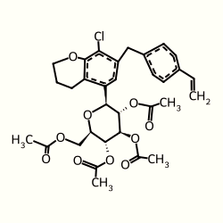 C=Cc1ccc(Cc2cc([C@@H]3O[C@H](COC(C)=O)[C@@H](OC(C)=O)[C@H](OC(C)=O)[C@H]3OC(C)=O)c3c(c2Cl)OCCC3)cc1